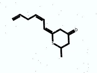 C=CC/C=C\C=C1/CC(=O)CC(C)S1